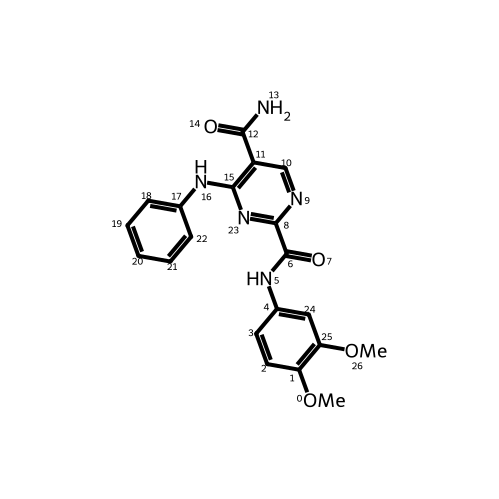 COc1ccc(NC(=O)c2ncc(C(N)=O)c(Nc3ccccc3)n2)cc1OC